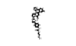 CCOCCOC(=O)Nc1ccc(-c2cnc([C@@H]3CCc4nc(-c5cc(C)ccc5-n5cnnn5)cc(=O)n43)[nH]2)cc1